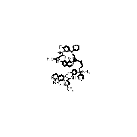 Nc1nccc2ccc(-n3nc(C(F)(F)F)cc3C(=O)Nc3cc(C(NCC4CC4C4CC4CCC(N)(c4ccncc4)c4ccc(F)c(NC(=O)c5cc(C(F)(F)F)nn5-c5ccc6ccnc(N)c6c5)c4)c4ccccc4)ccc3F)cc12